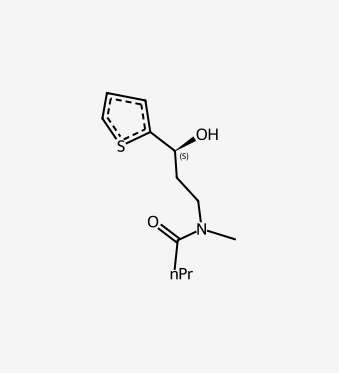 CCCC(=O)N(C)CC[C@H](O)c1cccs1